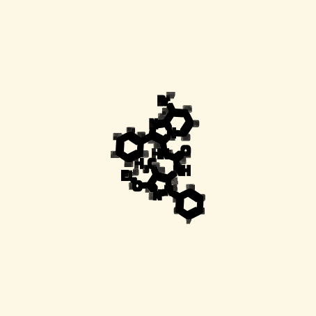 CCOc1nn(-c2ccccc2)c(NC(=O)Nc2c(-c3ccccc3)nc3c(Br)cccn23)c1C